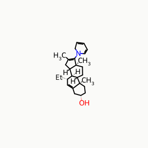 CC[C@H]1C=C2C[C@@H](O)CC[C@]2(C)[C@H]2CC[C@]3(C)C(N4C=CC=CC4)=C(C)C[C@H]3[C@H]12